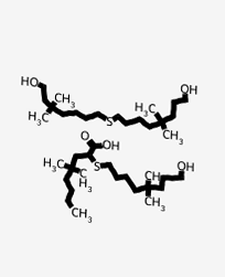 CC(C)(CCO)CCCCSCCCCC(C)(C)CCCO.CCCCC(C)(C)CC(SCCCCC(C)(C)CCCO)C(=O)O